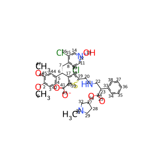 COc1ccc([C@H](Cc2c(Cl)c[n+](O)cc2Cl)c2cc(CNCC(C(=O)O[C@@H]3CCN(C)C3)c3ccccc3)sc2C(=O)[O-])cc1OC